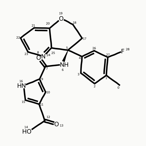 Cc1ccc([C@@]2(NC(=O)c3cc(C(=O)O)c[nH]3)CCOc3cccnc32)cc1F